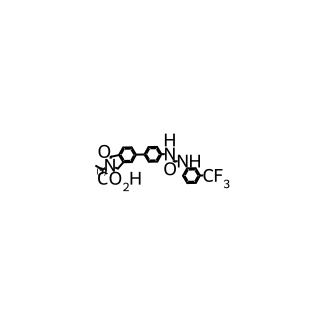 C[C@@H](C(=O)O)N1Cc2cc(-c3ccc(NC(=O)Nc4cccc(C(F)(F)F)c4)cc3)ccc2C1=O